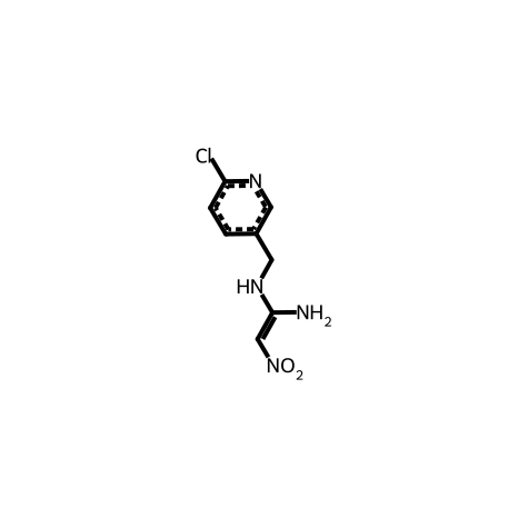 N/C(=C\[N+](=O)[O-])NCc1ccc(Cl)nc1